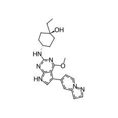 CC[C@]1(O)CC[C@H](Nc2nc(OC)c3c(-c4ccn5nccc5c4)c[nH]c3n2)CC1